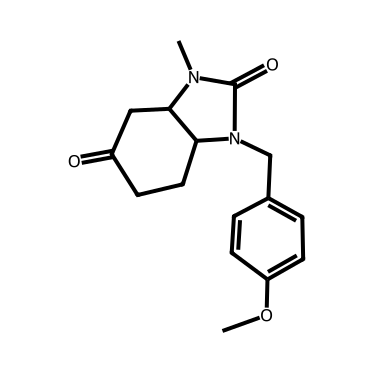 COc1ccc(CN2C(=O)N(C)C3CC(=O)CCC32)cc1